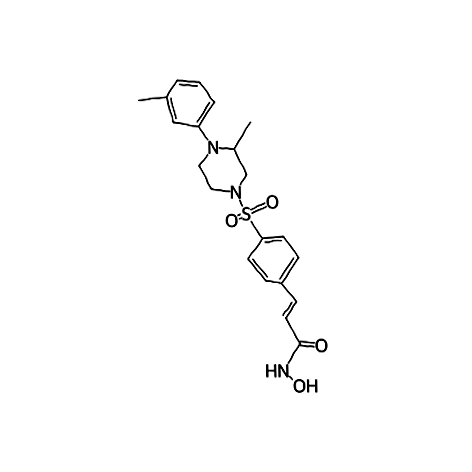 Cc1cccc(N2CCN(S(=O)(=O)c3ccc(C=CC(=O)NO)cc3)CC2C)c1